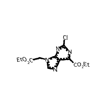 CCOC(=O)Cn1cnc2c(C(=O)OCC)nc(Cl)nc21